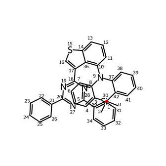 C[Si]1(C)c2ccccc2N(c2cccc3scc(-c4nc(-c5ccccc5)nc(-c5ccccc5)n4)c23)c2ccccc21